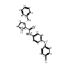 O=C(Nc1ccc(Oc2ccc(F)cc2)cc1)[C@H]1NCC[C@@H]1Cc1ccccc1